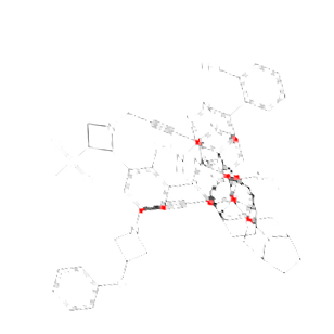 CS(=O)(=O)C1CN(CC#Cc2cc(N3C4CCC3CN(c3cc(-c5ccccc5O)nnc3N)C4)ccn2)C1c1cccc(-c2cc(N3CC4CCC(C3)N4c3ccnc(C#CCN4CC(Oc5ccccc5)C4)c3)c(N)nn2)c1O